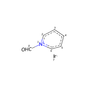 O=C[n+]1ccccc1.[Ir]